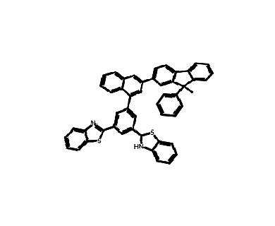 CC1(c2ccccc2)c2ccccc2-c2ccc(-c3cc(-c4cc(-c5nc6ccccc6s5)cc(C5Nc6ccccc6S5)c4)c4ccccc4c3)cc21